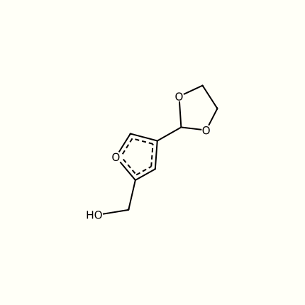 OCc1cc(C2OCCO2)co1